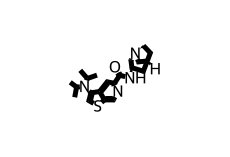 CC(C)N(c1csc2cnc(C(=O)N[C@@H]3C[C@H]4CC[N@](C4)C3)cc12)C(C)C